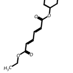 CCOC(=O)/C=C/C=C/C(=O)OC(CC)CC